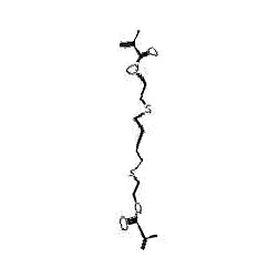 C=C(C)C(=O)OCCSCCCCSCCOC(=O)C(=C)C